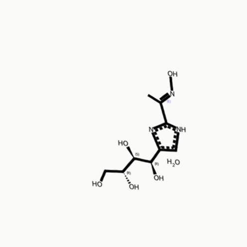 C/C(=N\O)c1nc([C@@H](O)[C@H](O)[C@H](O)CO)c[nH]1.O